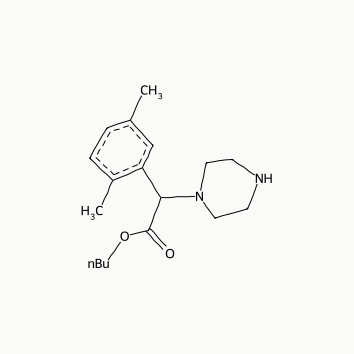 CCCCOC(=O)C(c1cc(C)ccc1C)N1CCNCC1